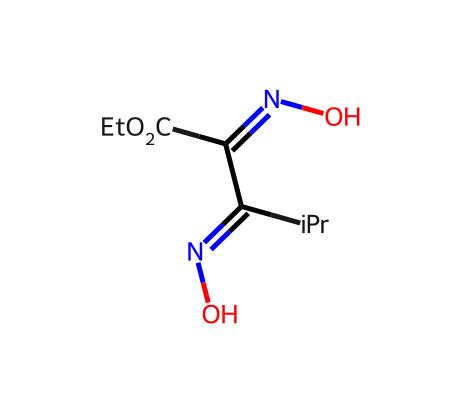 CCOC(=O)C(=NO)C(=NO)C(C)C